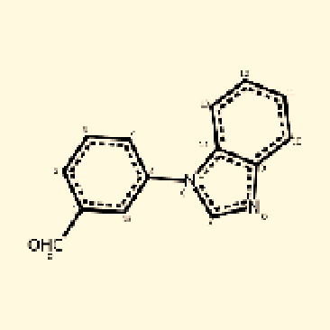 O=Cc1cccc(-n2cnc3ccccc32)c1